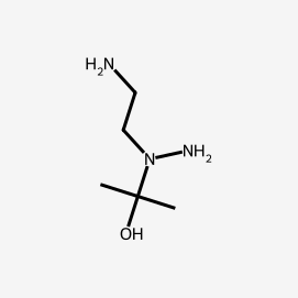 CC(C)(O)N(N)CCN